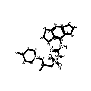 CC1CCN(CC(C)CS(=O)(=O)NC(=O)Nc2c3c(cc4c2CCC4)CCC3)CC1